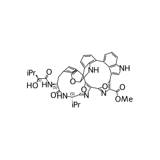 COC(=O)c1nc2oc1-c1c[nH]c3cccc(c13)-c1cccc3c1NC1Oc4ccc5cc4C31c1oc(nc1-2)[C@H](C(C)C)NC(=O)[C@@H](NC(=O)[C@@H](O)C(C)C)C5